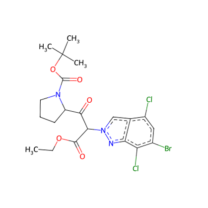 CCOC(=O)C(C(=O)C1CCCN1C(=O)OC(C)(C)C)n1cc2c(Cl)cc(Br)c(Cl)c2n1